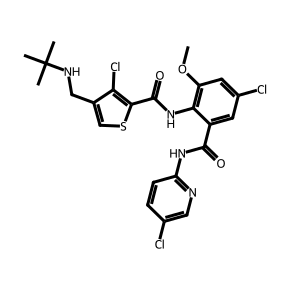 COc1cc(Cl)cc(C(=O)Nc2ccc(Cl)cn2)c1NC(=O)c1scc(CNC(C)(C)C)c1Cl